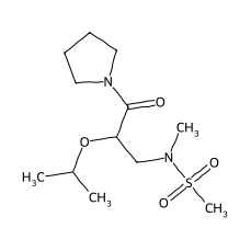 CC(C)OC(CN(C)S(C)(=O)=O)C(=O)N1CCCC1